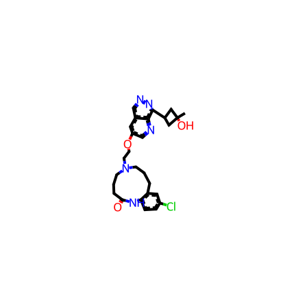 CC1(O)CC(c2nncc3cc(OCCN4CCCC(=O)Nc5ccc(Cl)cc5CCC4)cnc23)C1